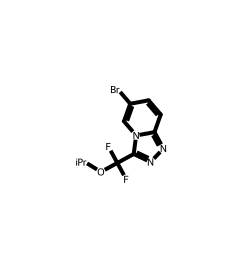 CC(C)OC(F)(F)c1nnc2ccc(Br)cn12